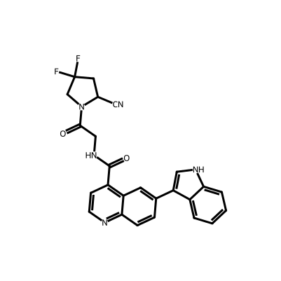 N#CC1CC(F)(F)CN1C(=O)CNC(=O)c1ccnc2ccc(-c3c[nH]c4ccccc34)cc12